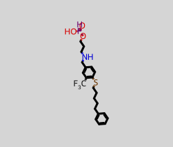 O=[PH](O)OCCCNCc1ccc(SCCCCCc2ccccc2)c(C(F)(F)F)c1